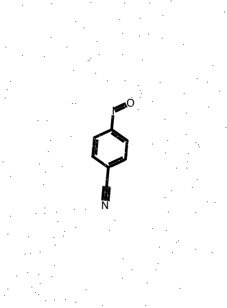 N#Cc1ccc(I=O)cc1